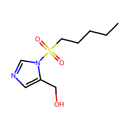 CCCCCS(=O)(=O)n1cncc1CO